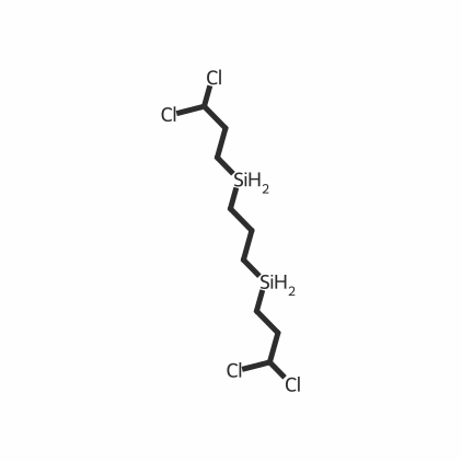 ClC(Cl)CC[SiH2]CCC[SiH2]CCC(Cl)Cl